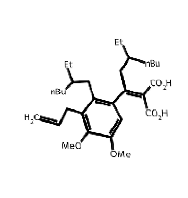 C=CCc1c(CC(CC)CCCC)c(C(CC(CC)CCCC)=C(C(=O)O)C(=O)O)cc(OC)c1OC